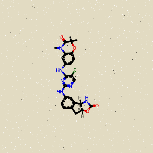 CN1C(=O)C(C)(C)Oc2ccc(Nc3nc(Nc4ccc5c(c4)[C@@H]4NC(=O)O[C@@H]4C5)ncc3Cl)cc21